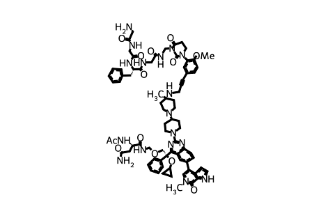 COc1ccc(C#CCNC2(C)CCN(C3CCN(c4nc([C@@](COCNC(=O)[C@H](CC(N)=O)NC(C)=O)(OC5CC5)c5ccccc5)c5cc(-c6cn(C)c(=O)c7[nH]ccc67)ccc5n4)CC3)CC2)cc1N1CCC(=O)N(CNC(=O)CNC(=O)[C@H](Cc2ccccc2)NC(=O)CNC(=O)CN)C1=O